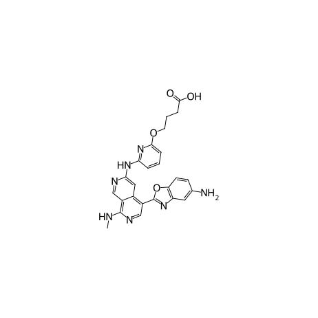 CNc1ncc(-c2nc3cc(N)ccc3o2)c2cc(Nc3cccc(OCCCC(=O)O)n3)ncc12